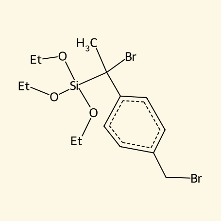 CCO[Si](OCC)(OCC)C(C)(Br)c1ccc(CBr)cc1